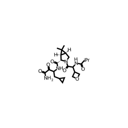 CC(C)C(=O)NC(C(=O)N1C[C@H]2[C@@H]([C@H]1C(=O)NC(CC1CC1)C(=O)C(N)=O)C2(C)C)C1COC1